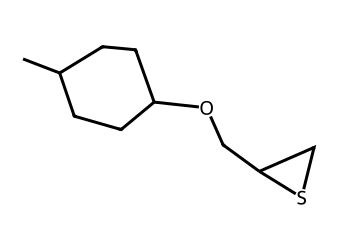 CC1CCC(OCC2CS2)CC1